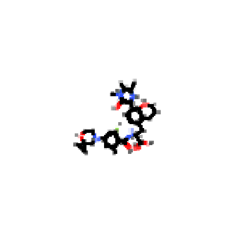 Cc1cc(N2CCOC3(CC3)C2)cc(F)c1C(=O)N[C@@H](Cc1ccc(-c2nc(C)c(C)n(C)c2=O)c2c1CCCO2)C(=O)O